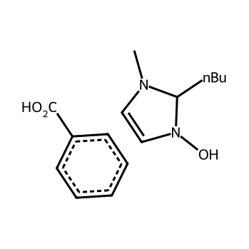 CCCCC1N(C)C=CN1O.O=C(O)c1ccccc1